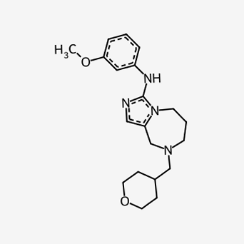 COc1cccc(Nc2ncc3n2CCCN(CC2CCOCC2)C3)c1